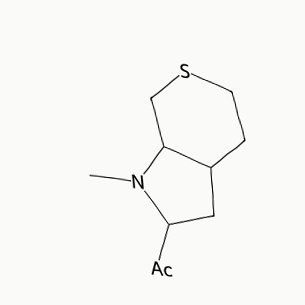 CC(=O)C1CC2CCSCC2N1C